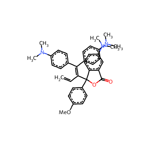 C=CC(=C(c1ccc(N(C)C)cc1)c1ccc(N(C)C)cc1)C1(c2ccc(OC)cc2)OC(=O)c2cc(N(C)C)ccc21